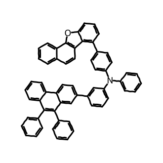 c1ccc(-c2c(-c3ccccc3)c3cc(-c4cccc(N(c5ccccc5)c5ccc(-c6cccc7oc8c9ccccc9ccc8c67)cc5)c4)ccc3c3ccccc23)cc1